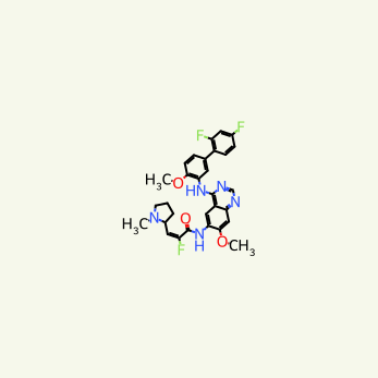 COc1cc2ncnc(Nc3cc(-c4ccc(F)cc4F)ccc3OC)c2cc1NC(=O)/C(F)=C\C1CCCN1C